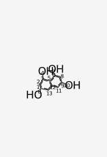 Oc1cc(O)c2c(O)cc(O)cc2c1